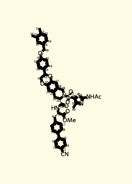 COC(=O)[C@H](Cc1ccc(-c2ccc(C#N)cc2)cc1)NC(=O)[C@@H]1Cc2cc3c(cc2CN1S(=O)(=O)c1sc(NC(C)=O)nc1C)OC(c1ccc(OCc2ccc(C)c(C)c2)cc1)CO3